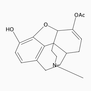 CC(=O)OC1=CCC2C3Cc4ccc(O)c5c4C2(CCN3C)C1O5